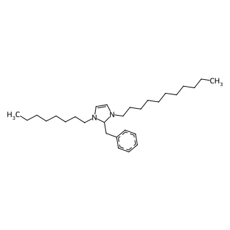 CCCCCCCCCCCN1C=CN(CCCCCCCC)C1Cc1ccccc1